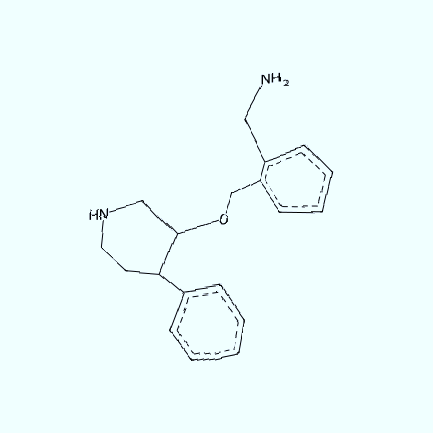 NCc1ccccc1COC1CNCCC1c1ccccc1